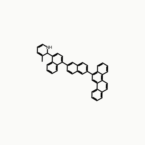 CC1=CC=CNC1c1ccc(-c2ccc3cc(-c4cc5c6ccccc6ccc5c5ccccc45)ccc3c2)c2ccccc12